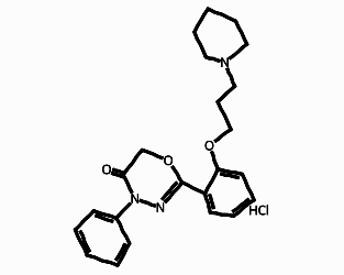 Cl.O=C1COC(c2ccccc2OCCCN2CCCCC2)=NN1c1ccccc1